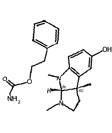 CN1CC[C@@]2(C)c3cc(O)ccc3N(C)[C@@H]12.NC(=O)OCCc1ccccc1